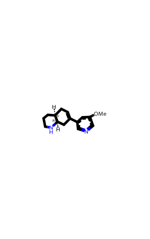 COc1cncc(C2=CC[C@@H]3CCCN[C@@H]3C2)c1